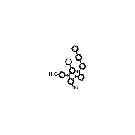 Cc1ccc(N2c3ccc(C(C)(C)C)cc3B3c4ccccc4N(c4cccc(-c5ccc(-c6ccccc6)cc5)c4)c4cc(C5CCCCC5)cc2c43)cc1